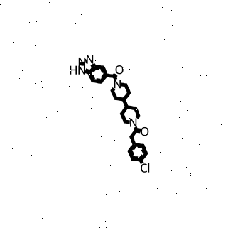 O=C(Cc1ccc(Cl)cc1)N1CCC(C2CCN(C(=O)c3ccc4[nH]nnc4c3)CC2)CC1